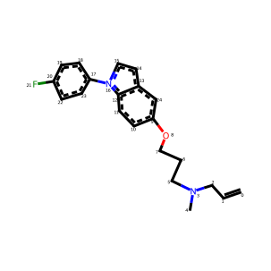 C=CCN(C)CCCOc1ccc2c(ccn2-c2ccc(F)cc2)c1